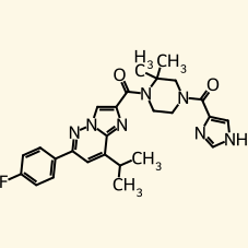 CC(C)c1cc(-c2ccc(F)cc2)nn2cc(C(=O)N3CCN(C(=O)c4c[nH]cn4)CC3(C)C)nc12